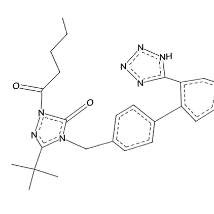 CCCCC(=O)n1nc(C(C)(C)C)n(Cc2ccc(-c3ccccc3-c3nnn[nH]3)cc2)c1=O